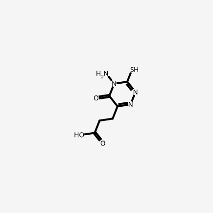 Nn1c(S)nnc(CCC(=O)O)c1=O